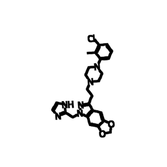 Cc1c(Cl)cccc1N1CCN(CCc2nn(Cc3ncc[nH]3)c3cc4c(cc23)OCO4)CC1